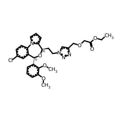 CCOC(=O)COCc1cn(CC[C@H]2O[C@H](c3cccc(OC)c3OC)c3cc(Cl)ccc3-n3cccc32)nn1